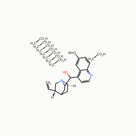 C=C[C@@H]1CN2CCC1C[C@@H]2C(O)c1ccnc2ccc(OC)cc12.CC(=O)O.CC(=O)O.CC(=O)O.CC(=O)O.CC(=O)O.CC(=O)O.CC(=O)O.CC(=O)O